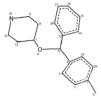 Cc1ccc(C(OC2CC[N]CC2)c2ccccc2)cc1